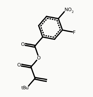 C=C(C(=O)OC(=O)c1ccc([N+](=O)[O-])c(F)c1)C(C)(C)C